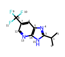 CC(C)c1nc2cc(C(F)(F)F)cnc2[nH]1